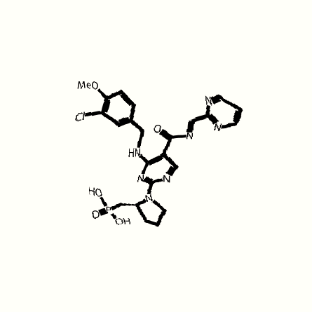 COc1ccc(CNc2nc(N3CCC[C@H]3CP(=O)(O)O)ncc2C(=O)N=Cc2ncccn2)cc1Cl